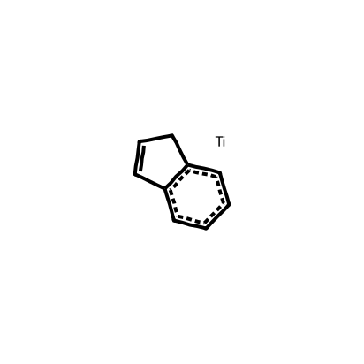 C1=Cc2ccccc2C1.[Ti]